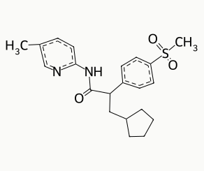 Cc1ccc(NC(=O)C(CC2CCCC2)c2ccc(S(C)(=O)=O)cc2)nc1